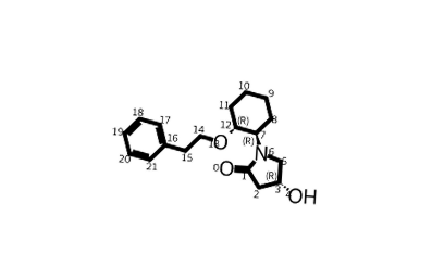 O=C1C[C@@H](O)CN1[C@@H]1CCCC[C@H]1OCCc1ccccc1